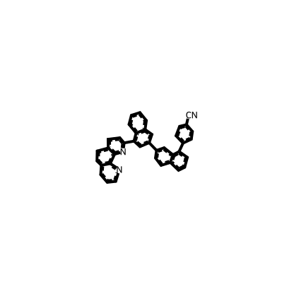 N#Cc1ccc(-c2cccc3ccc(-c4cc(-c5ccc6ccc7cccnc7c6n5)c5ccccc5c4)cc23)cc1